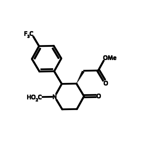 COC(=O)C[C@@H]1C(=O)CCN(C(=O)O)C1c1ccc(C(F)(F)F)cc1